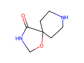 O=C1NCOC12CCNCC2